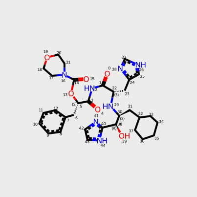 O=C(NC(=O)[C@H](Cc1ccccc1)OC(=O)N1CCOCC1)[C@H](Cc1c[nH]cn1)N[C@@H](CC1CCCCC1)[C@@H](O)c1ncc[nH]1